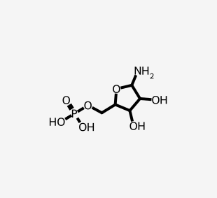 NC1OC(COP(=O)(O)O)C(O)C1O